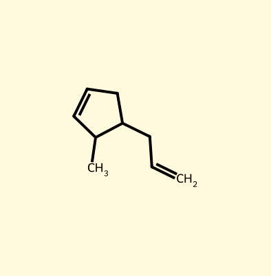 C=CCC1CC=CC1C